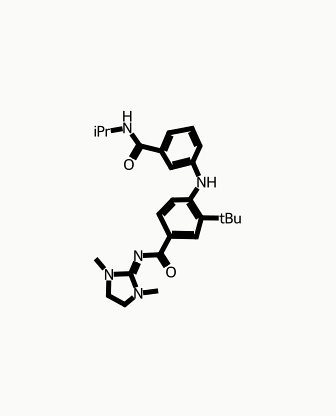 CC(C)NC(=O)c1cccc(Nc2ccc(C(=O)N=C3N(C)CCN3C)cc2C(C)(C)C)c1